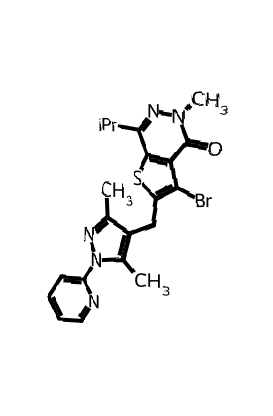 Cc1nn(-c2ccccn2)c(C)c1Cc1sc2c(C(C)C)nn(C)c(=O)c2c1Br